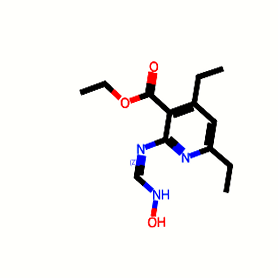 CCOC(=O)c1c(CC)cc(CC)nc1/N=C\NO